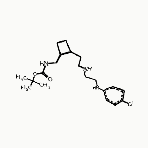 CC(C)(C)OC(=O)NCC1CCC1CCNCCNc1ccc(Cl)cc1